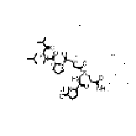 CC(C)C[C@H](C(=O)C(C)C)N(C)C(=O)[C@@H]1CCCN1C(=O)[C@H](C)CC(=O)[C@H](CCC(N)=O)NC(=O)C1CCC(=O)N1